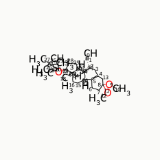 C#C[C@@H]1CC2=C(CCC(OC)(OC)C2)[C@H]2CC[C@]3(C)[C@@H](O[Si](C)(C)C(C)(C)C)CC[C@H]3[C@H]12